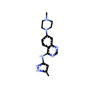 Cc1cc(Nc2ncnc3cc(N4CCN(C)CC4)ccc23)n[nH]1